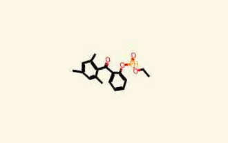 CCO[PH](=O)Oc1ccccc1C(=O)c1c(C)cc(C)cc1C